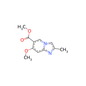 COC(=O)c1cn2cc(C)nc2cc1OC